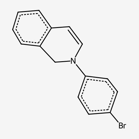 Brc1ccc(N2C=Cc3ccccc3C2)cc1